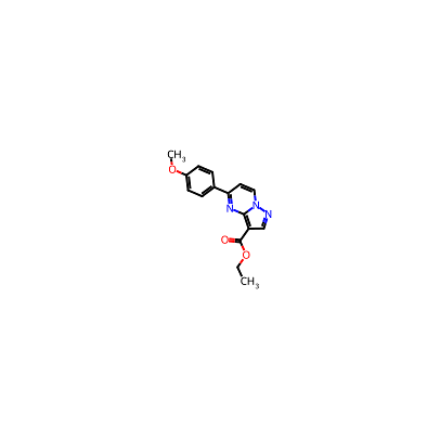 CCOC(=O)c1cnn2ccc(-c3ccc(OC)cc3)nc12